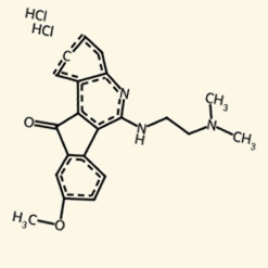 COc1ccc2c(c1)C(=O)c1c-2c(NCCN(C)C)nc2ccccc12.Cl.Cl